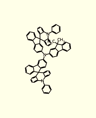 CC1(C)c2ccccc2-c2ccc(N(c3ccc4c(c3)-c3ccccc3C43c4ccccc4N(c4ccccc4)c4ccccc43)c3ccc4c(c3)C3(c5ccccc5-4)c4ccccc4N(c4ccccc4)c4ccccc43)cc21